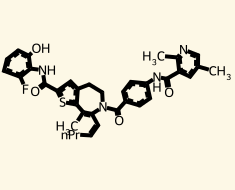 CCC/C=C\C1=C(C)c2sc(C(=O)Nc3c(O)cccc3F)cc2CCN1C(=O)c1ccc(NC(=O)c2cc(C)cnc2C)cc1